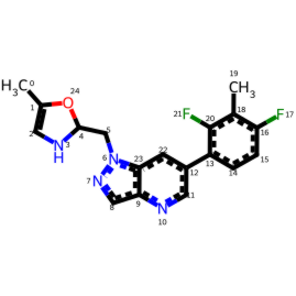 CC1=CNC(Cn2ncc3ncc(-c4ccc(F)c(C)c4F)cc32)O1